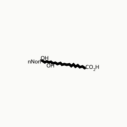 CCCCCCCCCC(O)CCC(O)CCCCCCCCCCCCCCCCC(=O)O